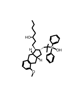 CCCC[C@H](O)CC[C@H]1[C@H](CC(C)(C)[Si](O)(c2ccccc2)c2ccccc2)C[C@@H]2Cc3c(cccc3OC)C[C@@H]21